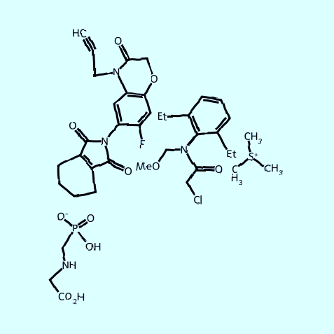 C#CCN1C(=O)COc2cc(F)c(N3C(=O)C4=C(CCCC4)C3=O)cc21.CCc1cccc(CC)c1N(COC)C(=O)CCl.C[S+](C)C.O=C(O)CNCP(=O)([O-])O